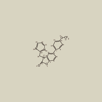 O=c1oc2ccc(-c3ccc(OC(F)(F)F)cc3)cc2n1Cc1ncccn1